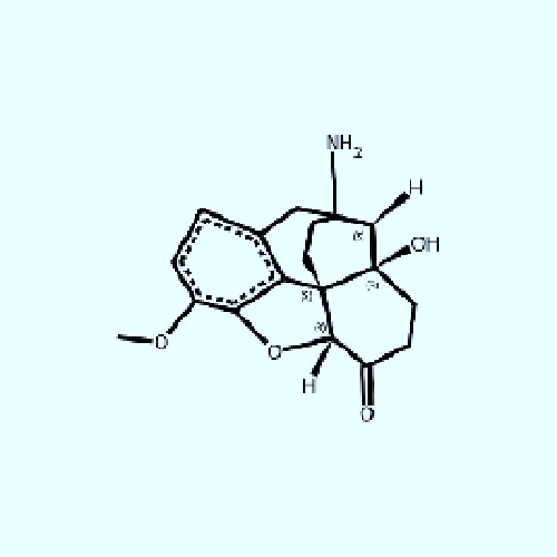 COc1ccc2c3c1O[C@H]1C(=O)CC[C@@]4(O)[C@@H](C2)C(N)CC[C@]314